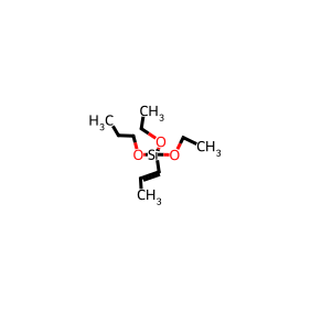 CC=C[Si](OCC)(OCC)OCCC